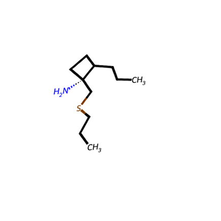 CCCSC[C@@]1(N)CCC1CCC